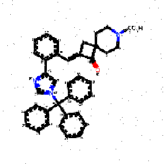 O=C(O)N1CCC2(CC1)CC(=Cc1ccccc1-c1cn(C(c3ccccc3)(c3ccccc3)c3ccccc3)cn1)C2=O